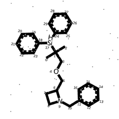 CC(C)(COCC1CCN1Cc1ccccc1)[SiH](c1ccccc1)c1ccccc1